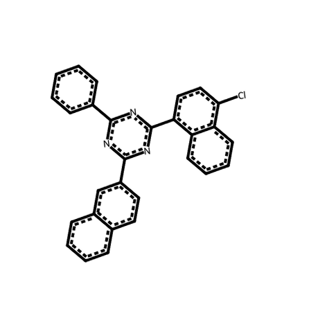 Clc1ccc(-c2nc(-c3ccccc3)nc(-c3ccc4ccccc4c3)n2)c2ccccc12